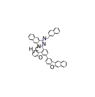 C=N/C(=N\C(=N/Cc1ccc2ccccc2c1)c1ccc2ccccc2c1)c1ccc(-c2ccc3oc4cc5ccccc5cc4c3c2)c2oc3ccccc3c12